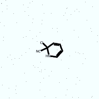 N#CC1(Cl)C=CC=CN1